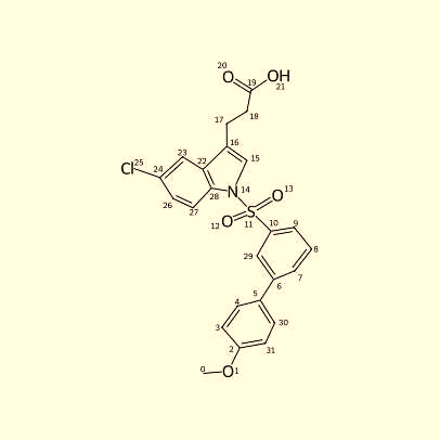 COc1ccc(-c2cccc(S(=O)(=O)n3cc(CCC(=O)O)c4cc(Cl)ccc43)c2)cc1